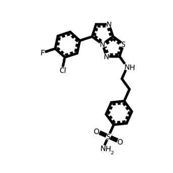 NS(=O)(=O)c1ccc(CCNc2nn3c(-c4ccc(F)c(Cl)c4)cnc3s2)cc1